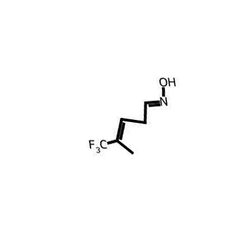 CC(=CCC=NO)C(F)(F)F